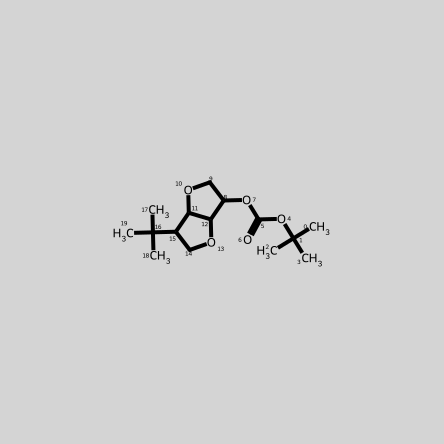 CC(C)(C)OC(=O)OC1COC2C1OCC2C(C)(C)C